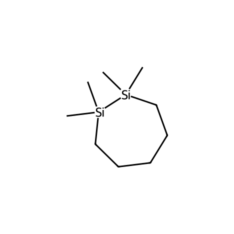 C[Si]1(C)CCCCC[Si]1(C)C